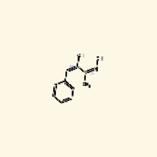 C/N=C(C)\C(O)=C/c1ccccc1